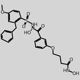 COc1ccc(S(=O)(=O)NN(O)C(=O)c2cccc(OCCCC(=O)NO)c2)c(Cc2ccccc2)c1